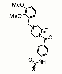 COc1cccc(CN2CCN(C(=O)c3ccc(N[SH](=O)=O)cc3)[C@H](C)C2)c1OC